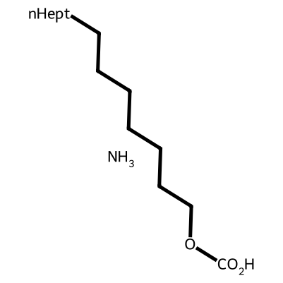 CCCCCCCCCCCCCCOC(=O)O.N